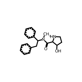 CN(C(=O)C1NCCC1O)C(Cc1ccccc1)c1ccccc1